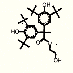 CC(C)(C)c1cc(C(C)(C(=O)OCCO)c2cc(C(C)(C)C)c(O)c(C(C)(C)C)c2)cc(C(C)(C)C)c1O